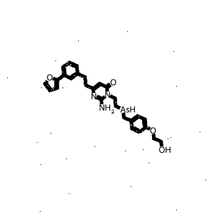 Nc1nc(CCc2cccc(-c3ccco3)c2)cc(=O)n1CC[AsH]Cc1ccc(OCCO)cc1